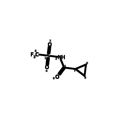 O=C(NS(=O)(=O)C(F)(F)F)C1CC1